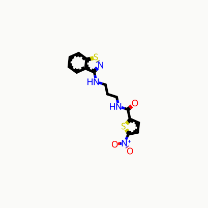 O=C(NCCCNc1nsc2ccccc12)c1ccc([N+](=O)[O-])s1